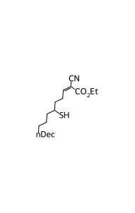 CCCCCCCCCCCCCC(S)CCC=C(C#N)C(=O)OCC